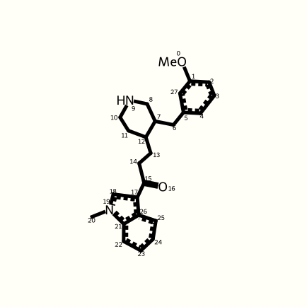 COc1cccc(CC2CNCCC2CCC(=O)c2cn(C)c3ccccc23)c1